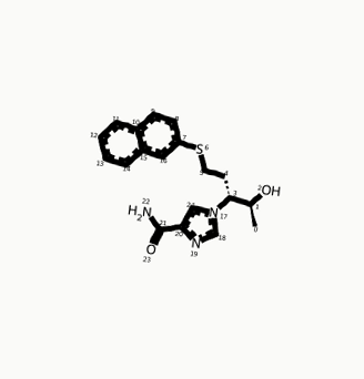 C[C@H](O)[C@@H](CCSc1ccc2ccccc2c1)n1cnc(C(N)=O)c1